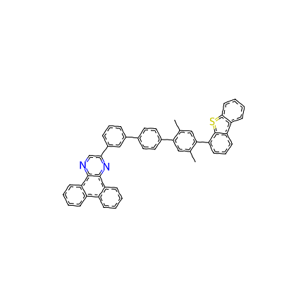 Cc1cc(-c2cccc3c2sc2ccccc23)c(C)cc1-c1ccc(-c2cccc(-c3cnc4c5ccccc5c5ccccc5c4n3)c2)cc1